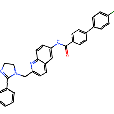 O=C(Nc1ccc2nc(CN3CCN=C3c3ccccc3)ccc2c1)c1ccc(-c2ccc(Cl)cc2)cc1